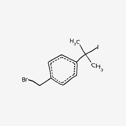 CC(C)(I)c1ccc(CBr)cc1